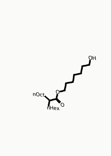 CCCCCCCCC(CCCCCC)C(=O)OCCCCCCCO